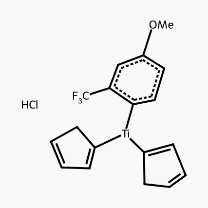 COc1cc[c]([Ti]([C]2=CC=CC2)[C]2=CC=CC2)c(C(F)(F)F)c1.Cl